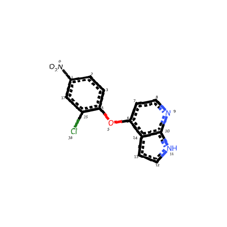 O=[N+]([O-])c1ccc(Oc2ccnc3[nH]ccc23)c(Cl)c1